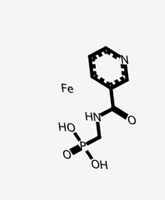 O=C(NCP(=O)(O)O)c1cccnc1.[Fe]